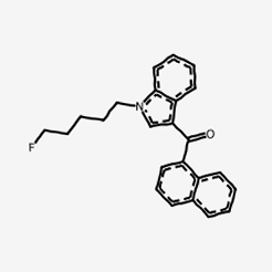 O=C(c1cccc2ccccc12)c1cn(CCCCCF)c2ccccc12